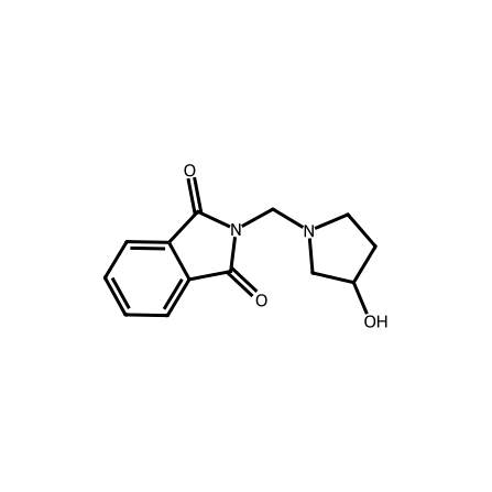 O=C1c2ccccc2C(=O)N1CN1CCC(O)C1